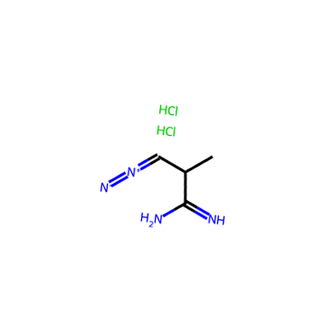 CC(C=[N+]=[N-])C(=N)N.Cl.Cl